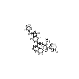 C[C@H](Oc1cccc2ncnc(Nc3ccc4c(cnn4Cc4cscn4)c3)c12)C(=O)N(C)C